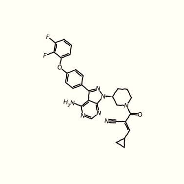 N#CC(=CC1CC1)C(=O)N1CCC[C@H](n2nc(-c3ccc(Oc4cccc(F)c4F)cc3)c3c(N)ncnc32)C1